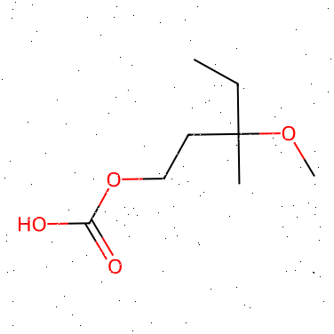 CCC(C)(CCOC(=O)O)OC